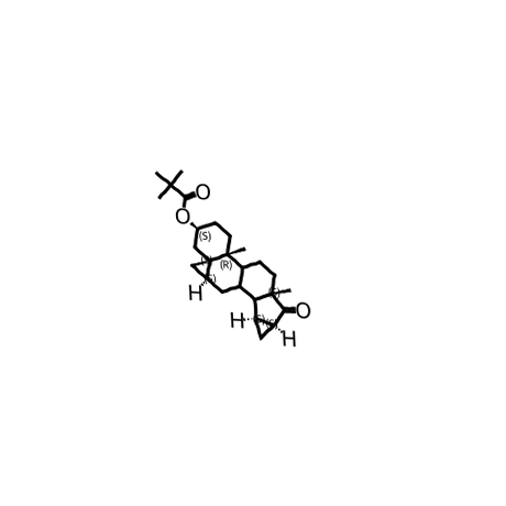 CC(C)(C)C(=O)O[C@H]1CC[C@]2(C)C3CC[C@]4(C)C(=O)[C@H]5C[C@H]5C4C3C[C@H]3C[C@]32C1